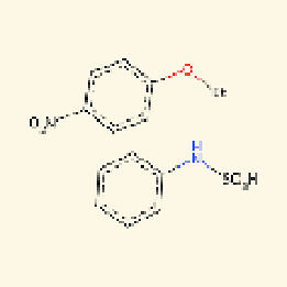 CCOc1ccc([N+](=O)[O-])cc1.O=S(=O)(O)Nc1ccccc1